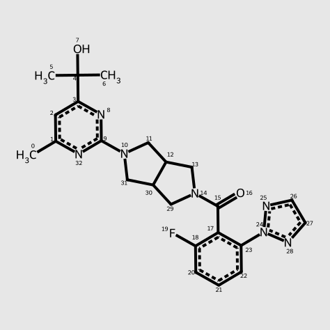 Cc1cc(C(C)(C)O)nc(N2CC3CN(C(=O)c4c(F)cccc4-n4nccn4)CC3C2)n1